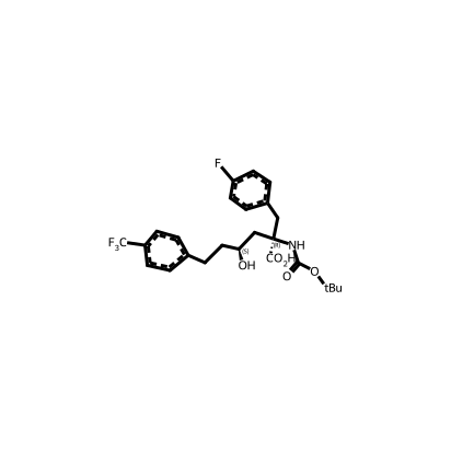 CC(C)(C)OC(=O)N[C@](Cc1ccc(F)cc1)(C[C@@H](O)CCc1ccc(C(F)(F)F)cc1)C(=O)O